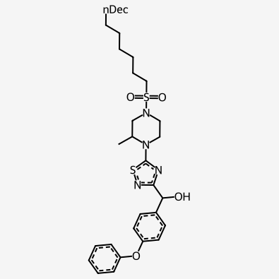 CCCCCCCCCCCCCCCCS(=O)(=O)N1CCN(c2nc(C(O)c3ccc(Oc4ccccc4)cc3)ns2)C(C)C1